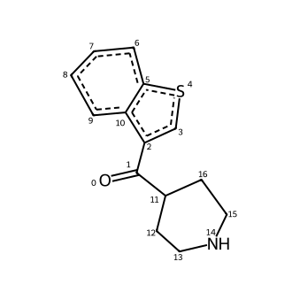 O=C(c1csc2ccccc12)C1CCNCC1